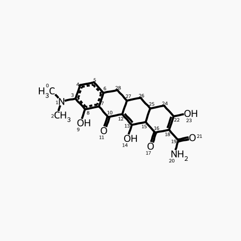 CN(C)c1ccc2c(c1O)C(=O)C1=C(O)C3C(=O)C(C(N)=O)=C(O)CC3CC1C2